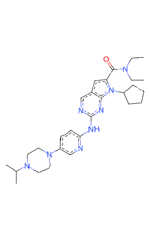 CCN(CC)C(=O)c1cc2cnc(Nc3ccc(N4CCN(C(C)C)CC4)cn3)nc2n1C1CCCC1